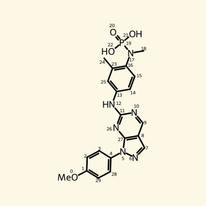 COc1ccc(-n2ncc3cnc(Nc4ccc(N(C)P(=O)(O)O)c(C)c4)nc32)cc1